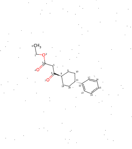 CCOC(=O)CC(=O)[C@H]1CC[C@H](c2ccccc2)CC1